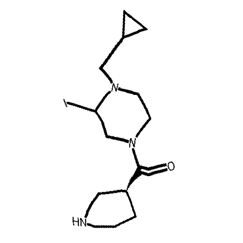 O=C([C@H]1CCNC1)N1CCN(CC2CC2)C(I)C1